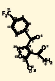 NC(=O)c1c(C(=O)c2ccc(C(F)(F)F)cc2)noc1C(F)(F)F